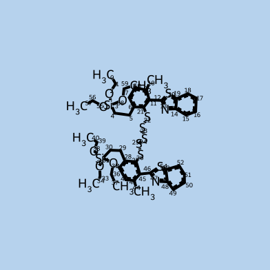 CCO[Si](CCc1ccc(C)c(-c2nc3ccccc3s2)c1SSSSSc1c(CC[Si](OCC)(OCC)OCC)ccc(C)c1-c1nc2ccccc2s1)(OCC)OCC